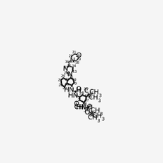 COc1c(NC(=O)Nc2ccc(N3C=CC(CN4CCOCC4)=NC3)c3ccccc23)cc(C(C)(C)C)cc1NC(=O)OC(C)(C)C